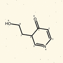 O=C1C=CN=CC1CCO